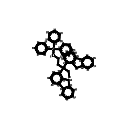 CCC(CCO[Si](c1ccccc1)(c1ccccc1)c1ccccc1)(c1cccc2c1Cc1ccccc1-2)c1cccc2c1Cc1ccccc1-2